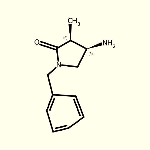 C[C@@H]1C(=O)N(Cc2ccccc2)C[C@@H]1N